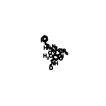 C=C1C(CNC=O)=CC2ON=C(C)C2=C1n1c(C)cnc(NCCc2ccccn2)c1=O